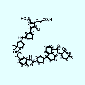 CC1(C)C[C@H](Nc2cccc(-c3sc(C(=O)O)c(OCC(=O)O)c3Cl)c2)CCN1S(=O)(=O)Cc1ccc(F)c(NC(=O)N2CCC(c3ccc4c5c(cccc35)C(=O)N4C3CCC(=O)NC3=O)CC2)c1